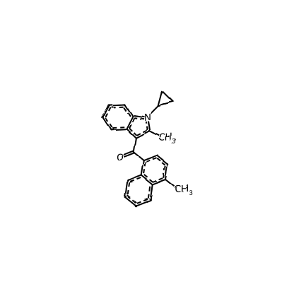 Cc1ccc(C(=O)c2c(C)n(C3CC3)c3ccccc23)c2ccccc12